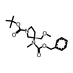 COC[C@]1(N(C)C(=O)OCc2ccccc2)CCN(C(=O)OC(C)(C)C)C1